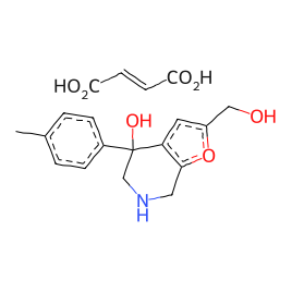 Cc1ccc(C2(O)CNCc3oc(CO)cc32)cc1.O=C(O)C=CC(=O)O